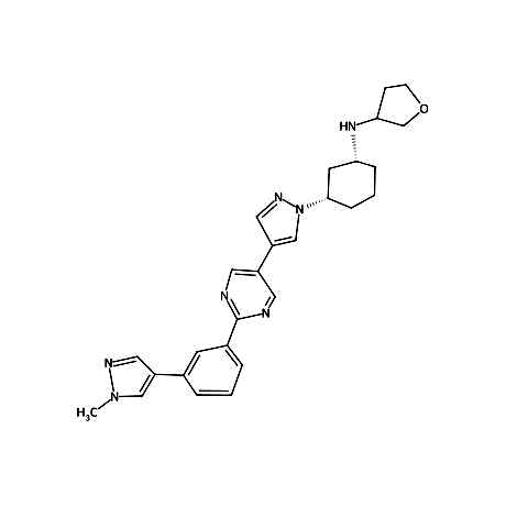 Cn1cc(-c2cccc(-c3ncc(-c4cnn([C@H]5CCC[C@@H](NC6CCOC6)C5)c4)cn3)c2)cn1